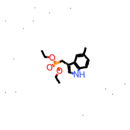 CCOP(=O)(Cc1c[nH]c2ccc(C)cc12)OCC